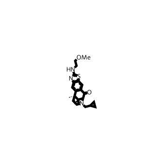 COCCNc1nc2cc3c(cc2s1)C(=O)C1[C@H](C)[C@@]3(C)CCN1CC1CC1